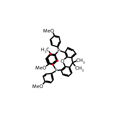 COc1ccc(P(c2ccc(C)cc2)c2cccc3c2Oc2c(P(c4ccc(OC)cc4)c4ccc(OC)cc4)cccc2C3(C)C)cc1